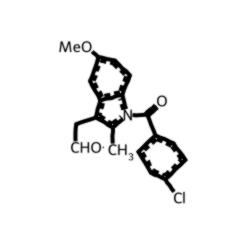 COc1ccc2c(c1)c(C[C]=O)c(C)n2C(=O)c1ccc(Cl)cc1